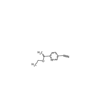 C=C(OCC)c1ccc(C#N)cn1